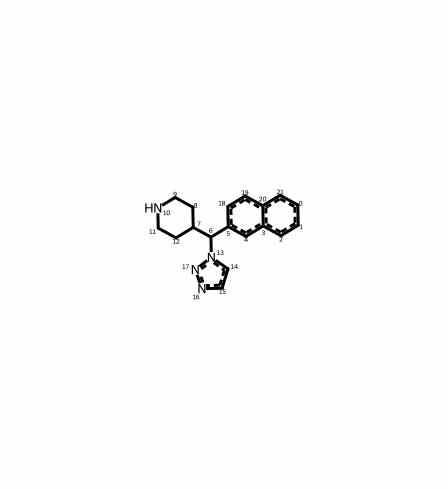 c1ccc2cc(C(C3CCNCC3)n3ccnn3)ccc2c1